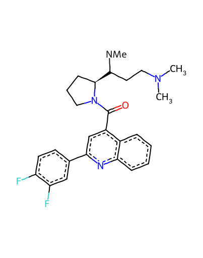 CNC(CCN(C)C)[C@@H]1CCCN1C(=O)c1cc(-c2ccc(F)c(F)c2)nc2ccccc12